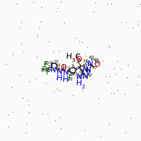 COCc1c(-c2ccc(NC(=O)Nc3cccc(C(F)(F)F)n3)c(F)c2)c2c(N)ncnn2c1CN1CCOCC1